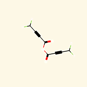 O=C(C#CC(F)F)OC(=O)C#CC(F)F